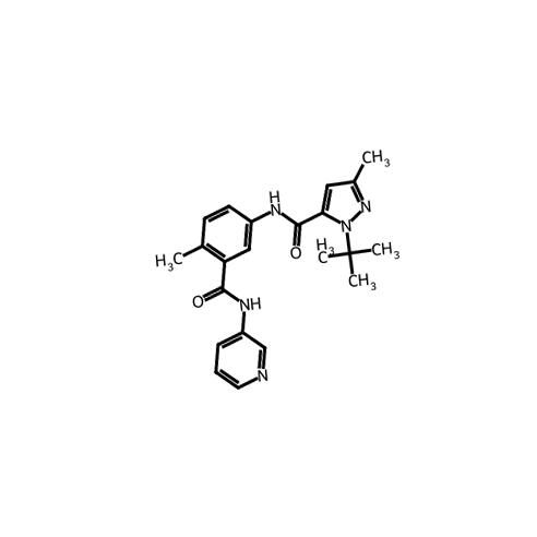 Cc1cc(C(=O)Nc2ccc(C)c(C(=O)Nc3cccnc3)c2)n(C(C)(C)C)n1